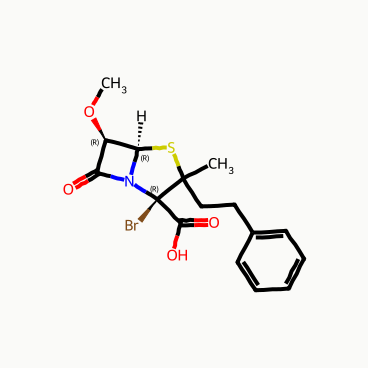 CO[C@@H]1C(=O)N2[C@@H]1SC(C)(CCc1ccccc1)[C@]2(Br)C(=O)O